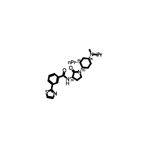 CCC[C@@H]1C[C@H](N(C)C(C)C)CC[C@@H]1N1CC[C@H](NC(=O)c2cccc(-c3nccs3)c2)C1=O